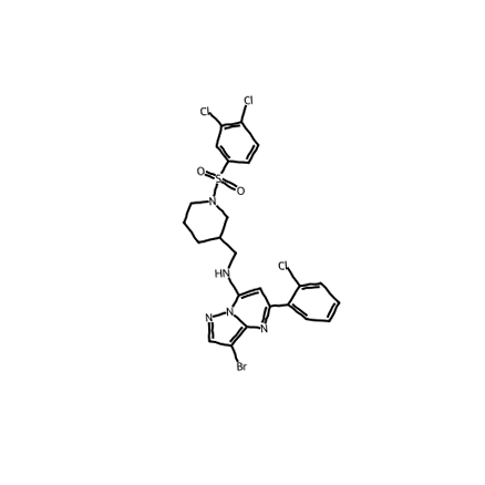 O=S(=O)(c1ccc(Cl)c(Cl)c1)N1CCCC(CNc2cc(-c3ccccc3Cl)nc3c(Br)cnn23)C1